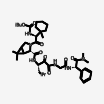 CC(C)COC(=O)N[C@H](C(=O)N1CC2C([C@H]1C(=O)N[C@@H](CC(C)C)C(=O)C(=O)NCC(=O)N[C@H](C(=O)N(C)C)c1ccccc1)C2(C)C)C1(C)CCCCC1